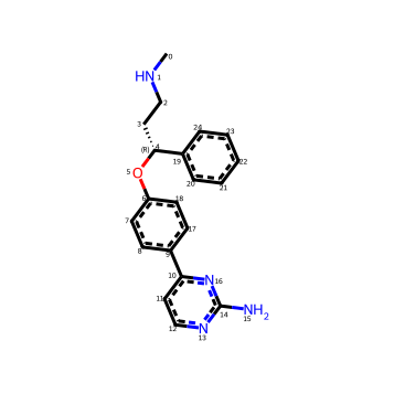 CNCC[C@@H](Oc1ccc(-c2ccnc(N)n2)cc1)c1ccccc1